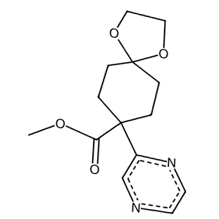 COC(=O)C1(c2cnccn2)CCC2(CC1)OCCO2